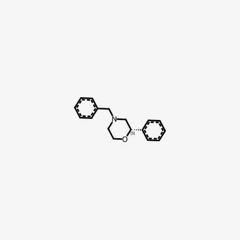 c1ccc(CN2CCO[C@@H](c3ccccc3)C2)cc1